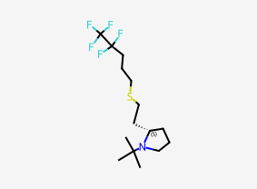 CC(C)(C)N1CCC[C@H]1CCSCCCC(F)(F)C(F)(F)F